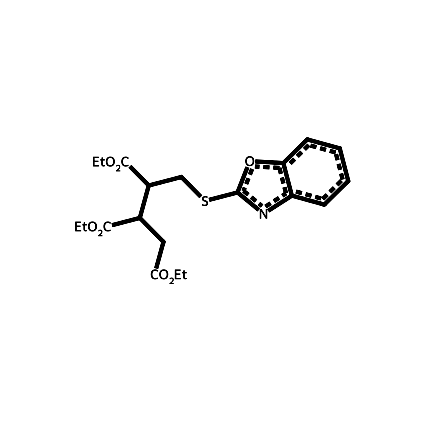 CCOC(=O)CC(C(=O)OCC)C(CSc1nc2ccccc2o1)C(=O)OCC